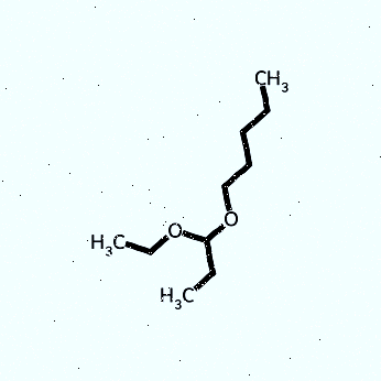 CCCCCOC(CC)OCC